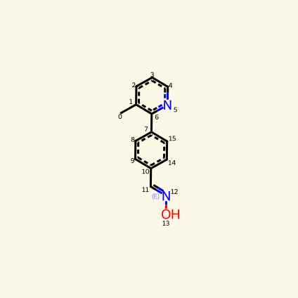 Cc1cccnc1-c1ccc(/C=N/O)cc1